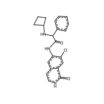 O=C(Nc1cc2cc[nH]c(=O)c2cc1Cl)C(NC1CCC1)c1ccccc1